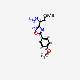 COC[C@H](N)c1noc(-c2ccc(OC(F)(F)F)cc2)n1